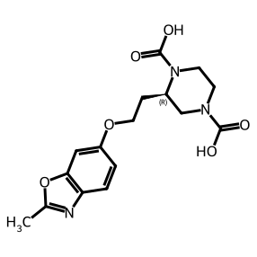 Cc1nc2ccc(OCC[C@@H]3CN(C(=O)O)CCN3C(=O)O)cc2o1